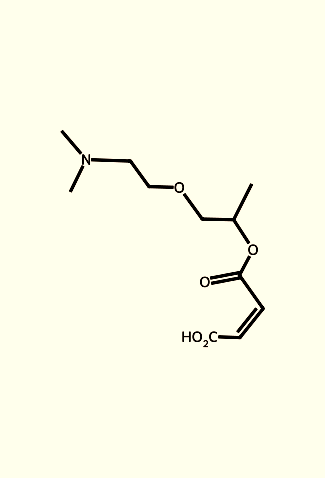 CC(COCCN(C)C)OC(=O)/C=C\C(=O)O